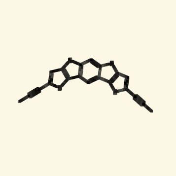 CC#Cc1cc2sc3cc4sc5cc(C#CC)sc5c4cc3c2s1